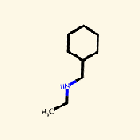 CCNCC1CC[CH]CC1